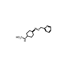 O=C(O)NC1CCC(=NOCc2ccccn2)CC1